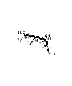 CCOC(=O)CC(O)(C=CCC(CCC=C(C)NC)NC)NC